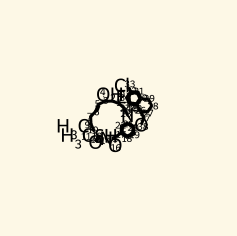 CC[C@@H]1C[C@@H](O)/C=C/C[C@H](C)[C@@H](C)/[SH](=O)=N\C(=O)c2ccc3c(c2)N(C1)C[C@@]1(CCCc2cc(Cl)ccc21)CO3